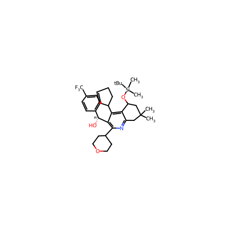 CC1(C)Cc2nc(C3CCOCC3)c([C@H](O)c3ccc(C(F)(F)F)cc3)c(C3C=CCC3)c2C(O[Si](C)(C)C(C)(C)C)C1